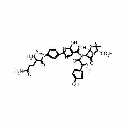 CC(=O)N(C(=O)C(N)CCC(N)=O)c1ccc(-c2ncc(C(=O)N(C(=O)C(N)c3ccc(O)cc3)[C@@H]3C(=O)N4[C@@H]3SC(C)(C)[C@@H]4C(=O)O)c(O)n2)cc1